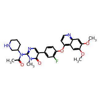 COc1cc2nccc(Oc3ccc(-c4cnc(N(C(C)=O)C5CCCNC5)n(C)c4=O)cc3F)c2cc1OC